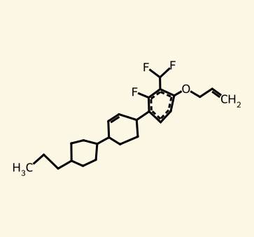 C=CCOc1ccc(C2C=CC(C3CCC(CCC)CC3)CC2)c(F)c1C(F)F